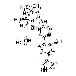 CC1(C)C[C@H](Nc2ncc(-c3ccc(-c4cn[nH]c4)cc3O)nn2)[C@H](O)C(C)(C)N1.Cl.Cl